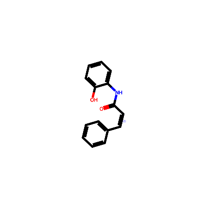 O=C(/C=C\c1ccccc1)Nc1ccccc1O